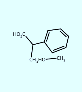 CC(C(=O)O)c1ccccc1.CO